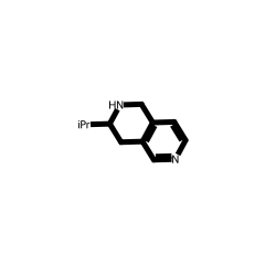 CC(C)C1Cc2cnccc2CN1